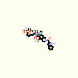 C[S+]([O-])c1ccc(CC(NC(=O)c2c(Cl)cc3c(c2Cl)CCN(C(=O)c2cc4cc(F)ccc4[nH]2)C3)C(=O)O)o1